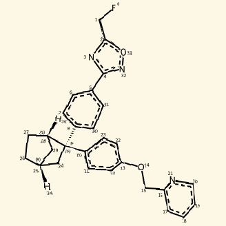 FCc1nc(-c2ccc([C@]3(c4ccc(OCc5ccccn5)cc4)C[C@@H]4CC[C@H]3C4)cc2)no1